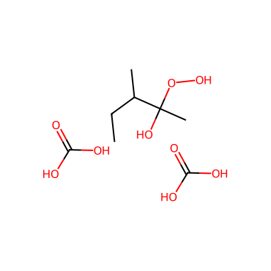 CCC(C)C(C)(O)OO.O=C(O)O.O=C(O)O